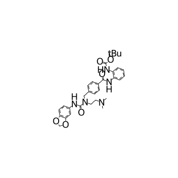 CN(C)CCN(Cc1ccc(C(=O)Nc2ccccc2NC(=O)OC(C)(C)C)cc1)C(=O)Nc1ccc2c(c1)OCO2